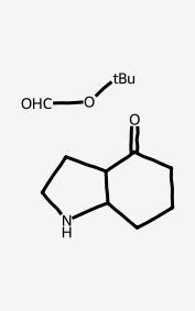 CC(C)(C)OC=O.O=C1CCCC2NCCC12